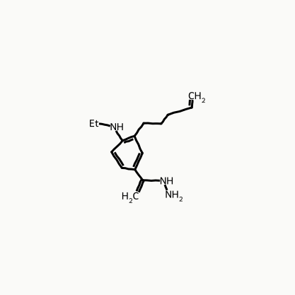 C=CCCCc1cc(C(=C)NN)ccc1NCC